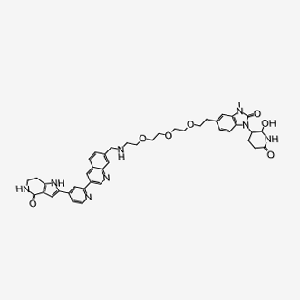 Cn1c(=O)n(C2CCC(=O)NC2O)c2ccc(CCOCCOCCOCCNCc3ccc4cc(-c5cc(-c6cc7c([nH]6)CCNC7=O)ccn5)cnc4c3)cc21